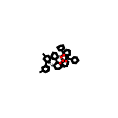 Cc1ccc2c(c1)c1cc(C)ccc1n2-c1cccc(-c2nc(-c3ccccc3)cc(-c3ccccc3)n2)c1-c1ccccc1-n1c2ccccc2c2ccccc21